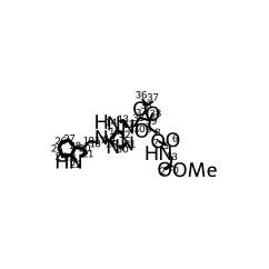 COC(=O)CNC(=O)OCC1OC(n2cnc3c(NCCc4c[nH]c5ccccc45)ncnc32)C2OC(C)(C)OC12